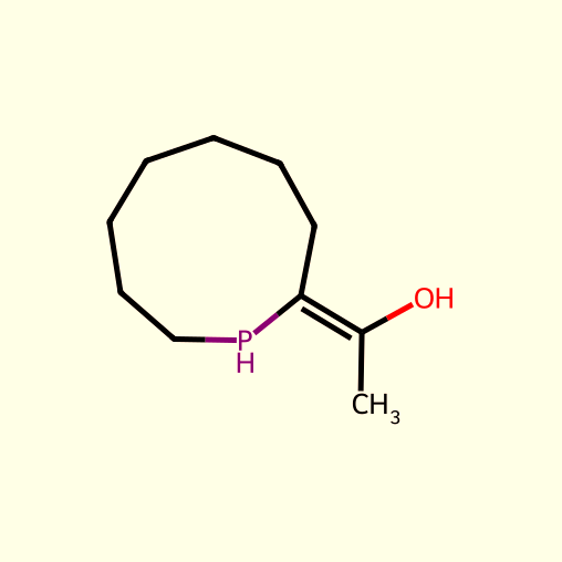 CC(O)=C1CCCCCCCP1